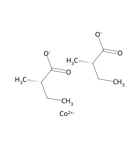 CC[C@H](C)C(=O)[O-].CC[C@H](C)C(=O)[O-].[Co+2]